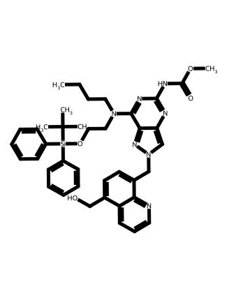 CCCCN(CCO[Si](c1ccccc1)(c1ccccc1)C(C)(C)C)c1nc(NC(=O)OC)nc2cn(Cc3ccc(CO)c4cccnc34)nc12